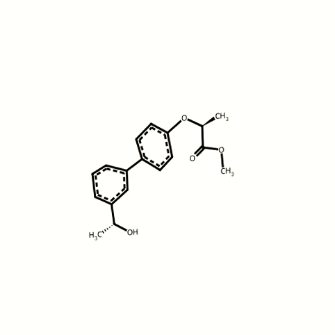 COC(=O)[C@H](C)Oc1ccc(-c2cccc([C@@H](C)O)c2)cc1